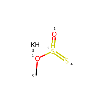 CO[SH](=O)=S.[KH]